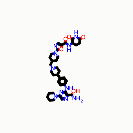 NC(O)c1ncc(N2CCCCC2)nc1Nc1ccc(C2CCN(CC3CCN(c4ncc(C(=O)NC5CCC(=O)NC5=O)o4)CC3)CC2)cc1